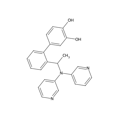 CC(c1ccccc1-c1ccc(O)c(O)c1)N(c1cccnc1)c1cccnc1